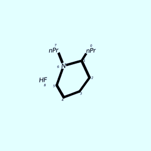 CCCC1CCCCN1CCC.F